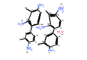 Cc1cc(-c2ccc(N)c(C)c2N)ccc1N.Cc1cc(-c2ccc(N)c(C)c2N)ccc1N.O